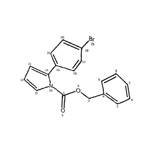 O=C(OCc1ccccc1)n1cccc1-c1ccc(Br)cc1